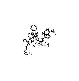 CCCCOC(=O)[C@H](C)N[P@](=O)(OC[C@@]1(C#N)O[C@@H](c2ccc3c(N)ncnn23)[C@H](O)[C@@H]1O)Oc1ccccc1